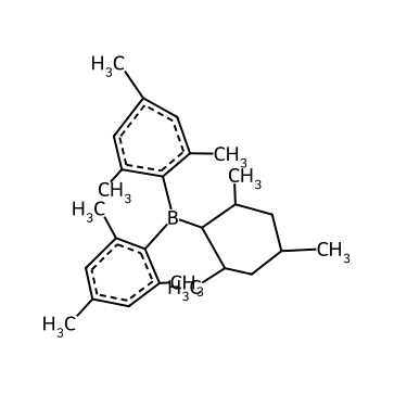 Cc1cc(C)c(B(c2c(C)cc(C)cc2C)C2C(C)CC(C)CC2C)c(C)c1